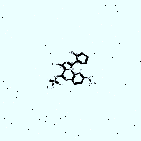 COc1ccc2nc(NS(C)(=O)=O)c3c(C)nc(-c4ccccc4F)n3c2n1